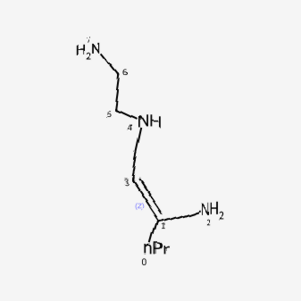 CCC/C(N)=C/NCCN